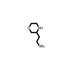 CCCCCCC1COCCN1